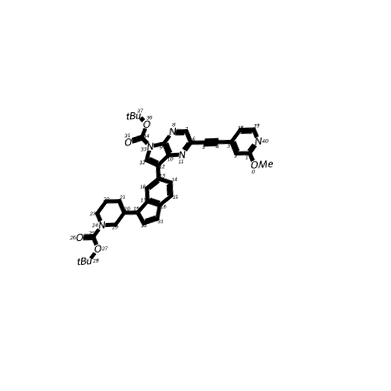 COc1cc(C#Cc2cnc3c(n2)c(-c2ccc4c(c2)C(C2CCCN(C(=O)OC(C)(C)C)C2)C=C4)cn3C(=O)OC(C)(C)C)ccn1